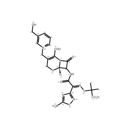 CCOC(=O)C(C)(C)ON=C(C(=O)NC1C(=O)N2C(C(=O)[O-])=C(C[n+]3cccc(CO)c3)CS[C@@H]12)c1nsc(N)n1